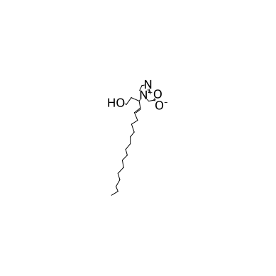 CCCCCCCCCCCCCCC=CC(CCO)[N+]1(CC(=O)[O-])C=NCC1